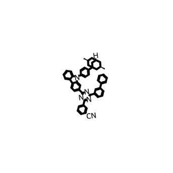 C[C@@H]1C[C@@H]2C[C@H](C)CC(c3ccc(-n4c5ccccc5c5ccc(-c6nc(-c7cccc(C#N)c7)nc(-c7cccc(-c8ccccc8)c7)n6)cc54)cc3)(C1)C2